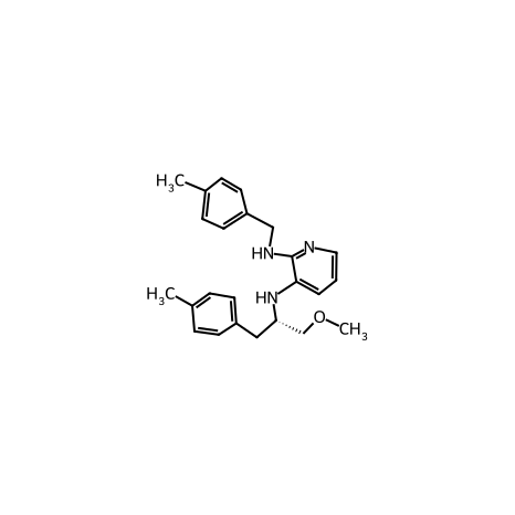 COC[C@H](Cc1ccc(C)cc1)Nc1cccnc1NCc1ccc(C)cc1